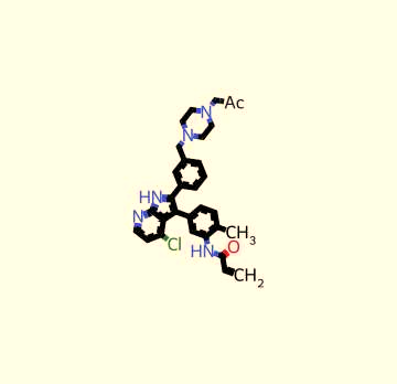 C=CC(=O)Nc1cc(-c2c(-c3cccc(CN4CCN(CC(C)=O)CC4)c3)[nH]c3nccc(Cl)c23)ccc1C